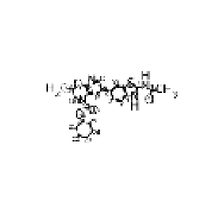 CC(=O)NC1Nc2ccc(-c3cnc4c(c3)N(C(=O)OC3CCCCC3)CC(C)O4)cc2S1